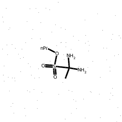 CCCOS(=O)(=O)C(C)(N)N